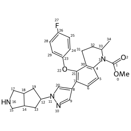 COC(=O)N1c2ccc(-c3cnn(C4CC5CNCC5C4)c3)c(Oc3ccc(F)cc3)c2CCC1C